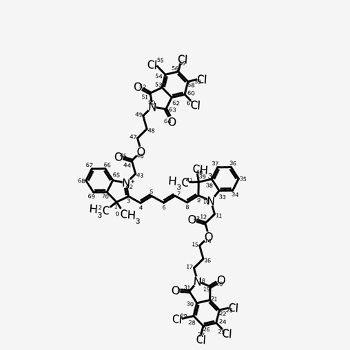 CC1(C)C(/C=C/C=C/C=C2/N(CC(=O)OCCCN3C(=O)c4c(Cl)c(Cl)c(Cl)c(Cl)c4C3=O)c3ccccc3C2(C)C)=[N+](CC(=O)OCCCN2C(=O)c3c(Cl)c(Cl)c(Cl)c(Cl)c3C2=O)c2ccccc21